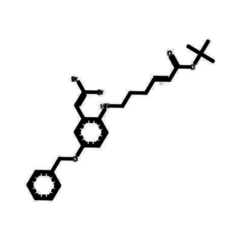 CC(C)(C)OC(=O)/C=C/CCCNc1ccc(OCc2ccccc2)cc1C=C(Br)Br